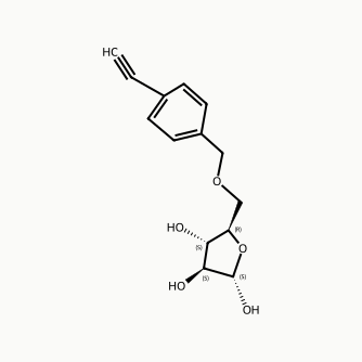 C#Cc1ccc(COC[C@H]2O[C@H](O)[C@@H](O)[C@@H]2O)cc1